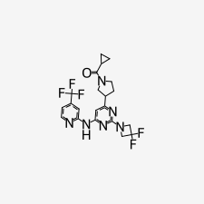 O=C(C1CC1)N1CCC(c2cc(Nc3cc(C(F)(F)F)ccn3)nc(N3CC(F)(F)C3)n2)C1